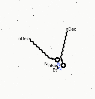 CCCCCCCCCCCCCCCCCCCCCCCCC#Cc1cccc(N=C(CC)C(CCCC)=Nc2cccc(C#CCCCCCCCCCCCCCCCCCCCCCCCC)c2)c1.[Ni]